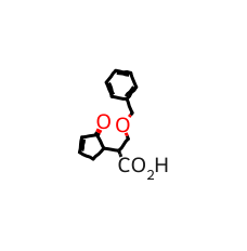 O=C(O)C(COCc1ccccc1)C1CC=CC1=O